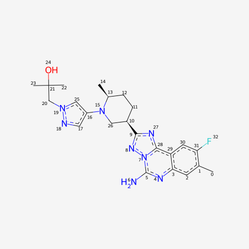 Cc1cc2nc(N)n3nc([C@@H]4CC[C@H](C)N(c5cnn(CC(C)(C)O)c5)C4)nc3c2cc1F